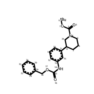 CC(C)(C)OC(=O)N1CCCC(c2cccc(NC(=O)OCc3ccccc3)c2)C1